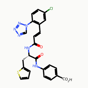 O=C(C=Cc1cc(Cl)ccc1-n1cnnn1)N[C@@H](Cc1cccs1)C(=O)Nc1ccc(C(=O)O)cc1